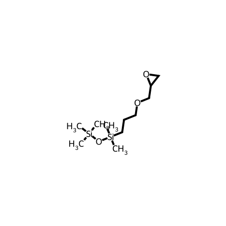 C[Si](C)(C)O[Si](C)(C)CCCOCC1CO1